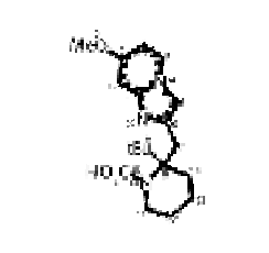 COc1ccn2cc(C[C@]3(C(C)(C)C)CCCCN3C(=O)O)nc2c1